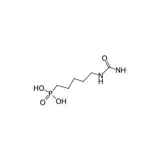 [NH]C(=O)NCCCCCP(=O)(O)O